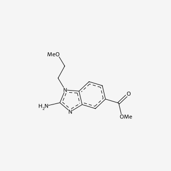 COCCn1c(N)nc2cc(C(=O)OC)ccc21